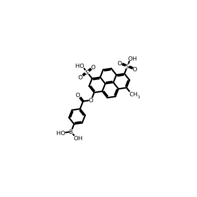 Cc1cc(S(=O)(=O)O)c2ccc3c(S(=O)(=O)O)cc(OC(=O)c4ccc(B(O)O)cc4)c4ccc1c2c43